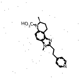 C[C@H]1CCc2c(ccc3c2nc(CCc2ccncc2)n3C)N1C(=O)O